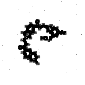 CC(=O)c1cc2c(c(S(=O)(=O)O)c1)CN(CCC(=O)c1ccc3c(c1)CN(CCC(=O)c1ccc4c(c1)CCN(C)C4)C3)C2